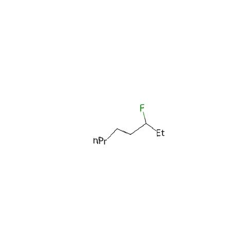 CCCCCC(F)CC